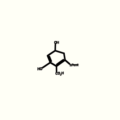 CCCCCC1=C(C(=O)O)C(O)=CC(O)C1